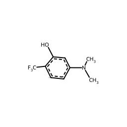 CN(C)c1c[c]c(C(F)(F)F)c(O)c1